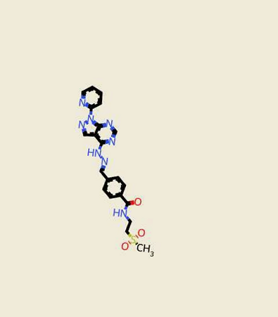 CS(=O)(=O)CCNC(=O)c1ccc(C=NNc2ncnc3c2cnn3-c2ccccn2)cc1